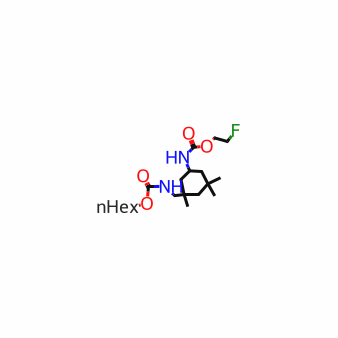 CCCCCCOC(=O)NCC1(C)CC(NC(=O)OCCF)CC(C)(C)C1